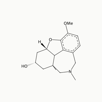 COc1ccc2c3c1O[C@H]1C[C@@H](O)CC(C)(CN(C)C2)C31